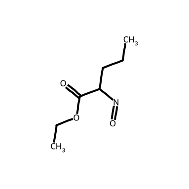 CCCC(N=O)C(=O)OCC